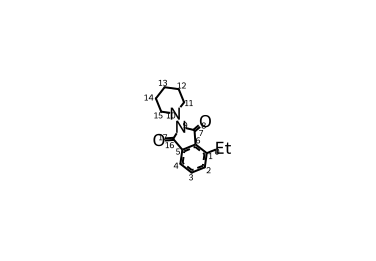 CCc1cccc2c1C(=O)N(N1CCCCC1)C2=O